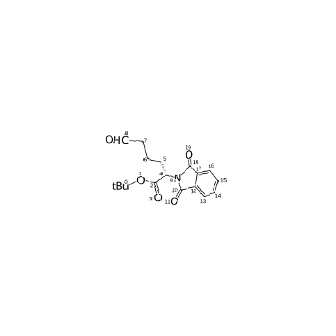 CC(C)(C)OC(=O)[C@H](CCCC=O)N1C(=O)c2ccccc2C1=O